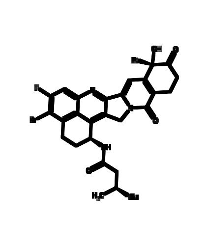 CC[C@@]1(O)C(=O)CCc2c1cc1n(c2=O)Cc2c-1nc1cc(F)c(Br)c3c1c2[C@@H](NC(=O)C[C@H](C)C(C)(C)C)CC3